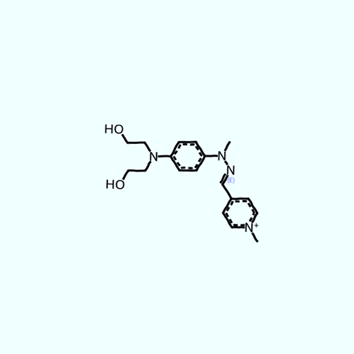 CN(/N=C/c1cc[n+](C)cc1)c1ccc(N(CCO)CCO)cc1